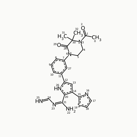 CC(=O)N1CCN(c2cccc(-c3cc(-c4nccs4)c(/C(N)=N\C=N)[nH]3)c2)C(=O)C1(C)C